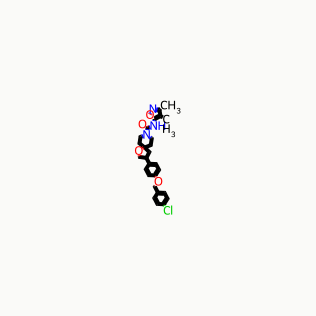 Cc1noc(NC(=O)N2CCC3(CC2)CC(c2ccc(OCc4ccc(Cl)cc4)cc2)CO3)c1C